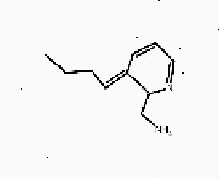 CCCC=C1C=CC=NC1CN